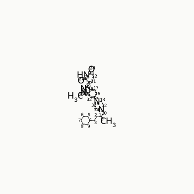 C[C@@H](CCC1CCCCC1)CN1CCN(c2ccc3c(C4CCC(=O)NC4=O)nn(C)c3c2)CC1